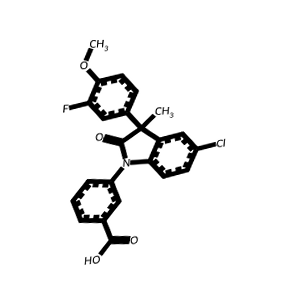 COc1ccc(C2(C)C(=O)N(c3cccc(C(=O)O)c3)c3ccc(Cl)cc32)cc1F